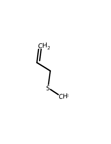 [CH]SCC=C